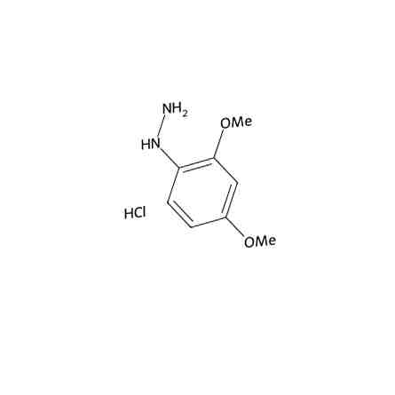 COc1ccc(NN)c(OC)c1.Cl